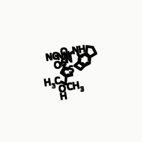 CC(C)(O)c1csc([S@@](=O)(=NC(=O)Nc2c3c(cc4c2CC4)CCC3)NC#N)c1